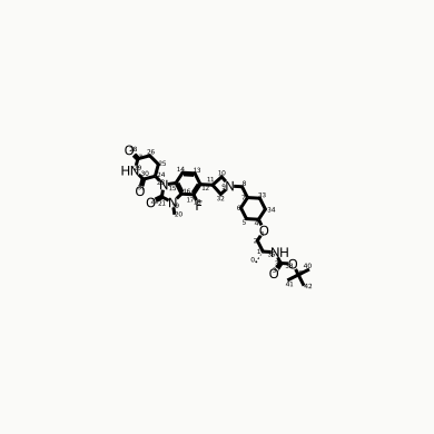 C[C@H](COC1CCC(CN2CC(c3ccc4c(c3F)n(C)c(=O)n4C3CCC(=O)NC3=O)C2)CC1)NC(=O)OC(C)(C)C